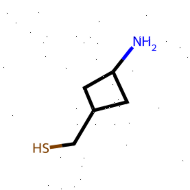 NC1CC(CS)C1